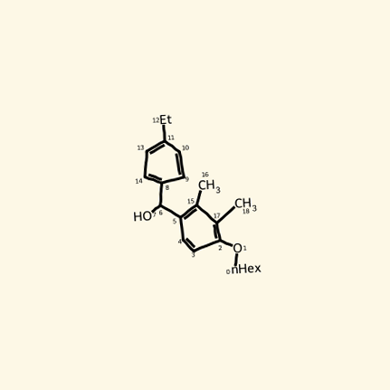 CCCCCCOc1ccc(C(O)c2ccc(CC)cc2)c(C)c1C